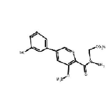 BOc1cc(-c2cccc(C#N)c2)cnc1C(=O)N(B)CC(=O)O